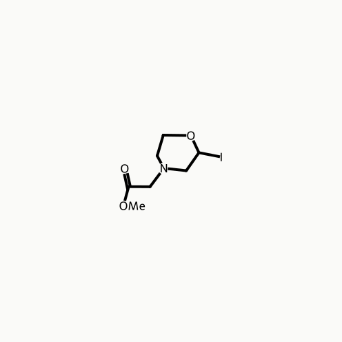 COC(=O)CN1CCOC(I)C1